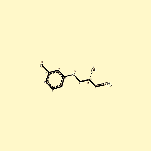 C=C[C@@H](O)COc1cccc(Cl)c1